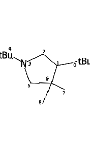 CC(C)(C)C1CN(C(C)(C)C)CC1(C)C